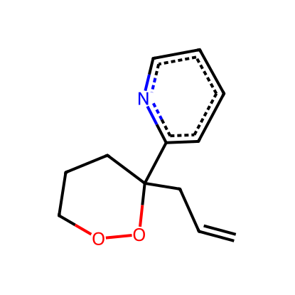 C=CCC1(c2ccccn2)CCCOO1